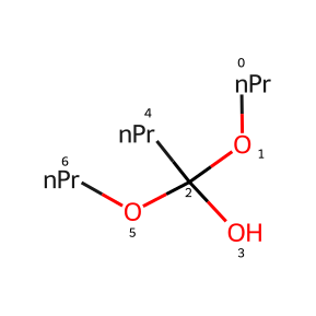 CCCOC(O)(CCC)OCCC